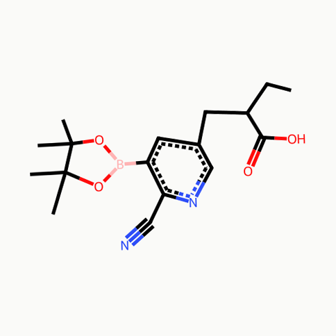 CCC(Cc1cnc(C#N)c(B2OC(C)(C)C(C)(C)O2)c1)C(=O)O